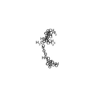 Cc1cc(Nc2ncc(Cl)c(Nc3ccccc3S(=O)(=O)C(C)C)n2)c(OC(C)C)cc1C1CCN(CCOCCOCCNC(=O)CNc2cccc3c2C(=O)N(C2CCC(=O)NC2=O)C3=O)CC1